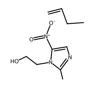 C=CCC.Cc1ncc([N+](=O)[O-])n1CCO